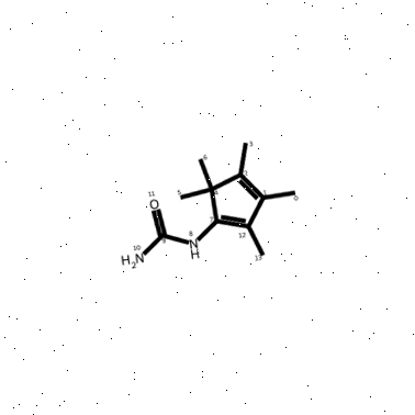 CC1=C(C)C(C)(C)C(NC(N)=O)=C1C